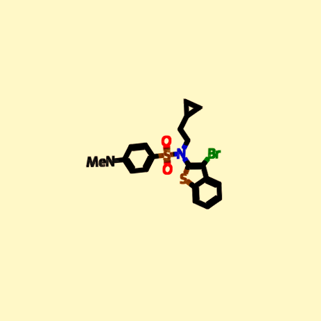 CNc1ccc(S(=O)(=O)N(CCC2CC2)c2sc3ccccc3c2Br)cc1